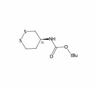 CC(C)(C)OC(=O)N[C@H]1CCSSC1